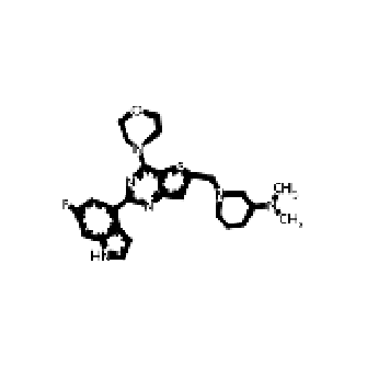 CN(C)C1CCCN(Cc2cc3nc(-c4cc(F)cc5[nH]ccc45)nc(N4CCOCC4)c3s2)C1